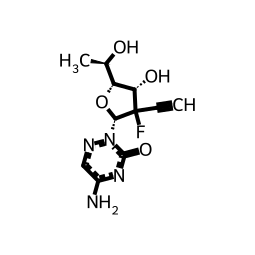 C#CC1(F)[C@@H](O)[C@@H]([C@@H](C)O)O[C@H]1n1ncc(N)nc1=O